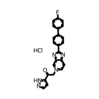 Cl.O=C(Cn1ccc2nc(-c3ccc(-c4ccc(F)cc4)cc3)nc-2c1)c1ccn[nH]1